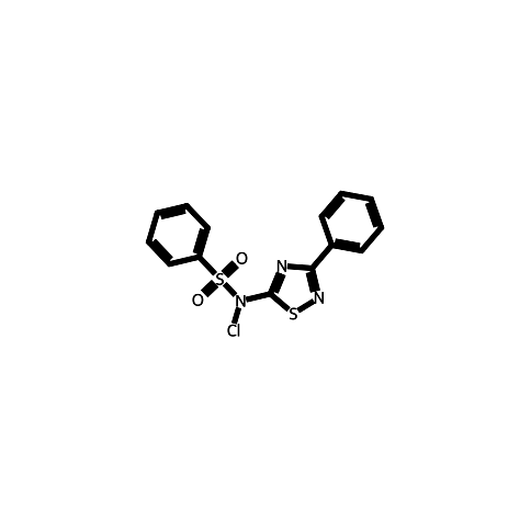 O=S(=O)(c1ccccc1)N(Cl)c1nc(-c2ccccc2)ns1